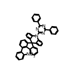 O=[N+]([O-])c1ccccc1-c1cccc2c1-c1ccccc1C21c2ccccc2N(c2nc(-c3ccccc3)nc(-c3ccccc3)n2)c2ccccc21